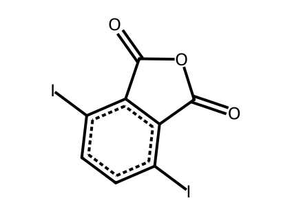 O=C1OC(=O)c2c(I)ccc(I)c21